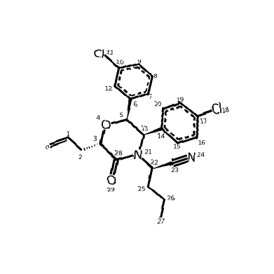 C=CC[C@@H]1O[C@@H](c2cccc(Cl)c2)[C@@H](c2ccc(Cl)cc2)N([C@@H](C#N)CCC)C1=O